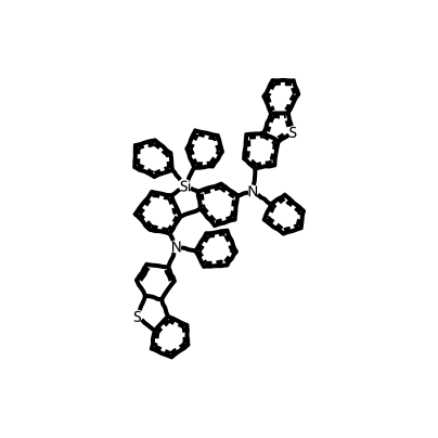 C1=CC2Sc3ccccc3C2C=C1N(c1ccccc1)c1cccc2c1-c1ccc(N(c3ccccc3)c3ccc4c(c3)sc3ccccc34)cc1[Si]2(c1ccccc1)c1ccccc1